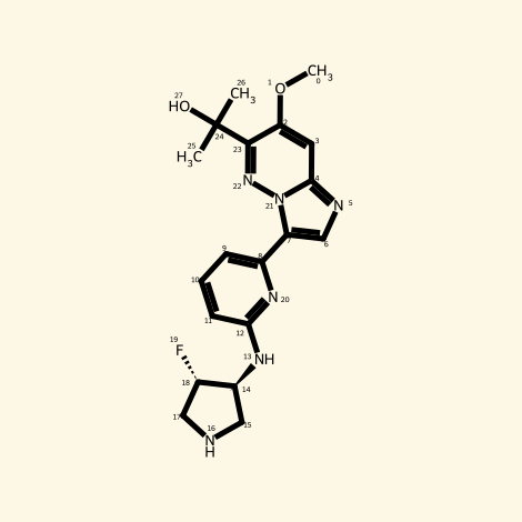 COc1cc2ncc(-c3cccc(N[C@H]4CNC[C@@H]4F)n3)n2nc1C(C)(C)O